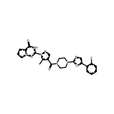 Cc1c(C(=O)N2CCN(c3ncc(-c4ccccc4F)o3)CC2)cnn1-c1nn2cccc2c(=O)[nH]1